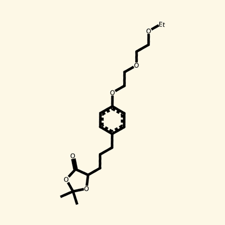 CCOCCOCCOc1ccc(CCCC2OC(C)(C)OC2=O)cc1